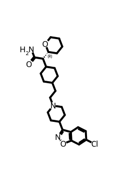 NC(=O)C(C1CCC(CCN2CCC(c3noc4cc(Cl)ccc34)CC2)CC1)[C@H]1CCCCO1